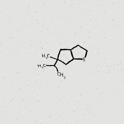 CC(C)C1(C)CC2CCSC2C1